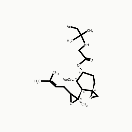 CO[C@@H]1[C@H](OC(=O)CNC(C)(C)CC(C)=O)CC[C@]2(CO2)[C@H]1[C@@]1(C)OC1CC=C(C)C